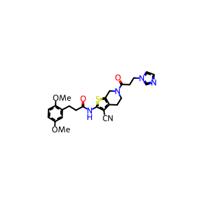 COc1ccc(OC)c(CCC(=O)Nc2sc3c(c2C#N)CCN(C(=O)CCn2ccnc2)C3)c1